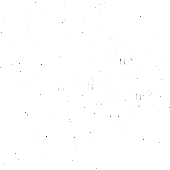 O=C(NCCOCc1cccc(Cl)c1)c1cc([N+](=O)[O-])cc([N+](=O)[O-])c1